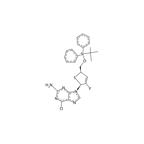 CC(C)(C)[Si](OC[C@H]1C=C(F)[C@@H](n2cnc3c(Cl)nc(N)nc32)S1)(c1ccccc1)c1ccccc1